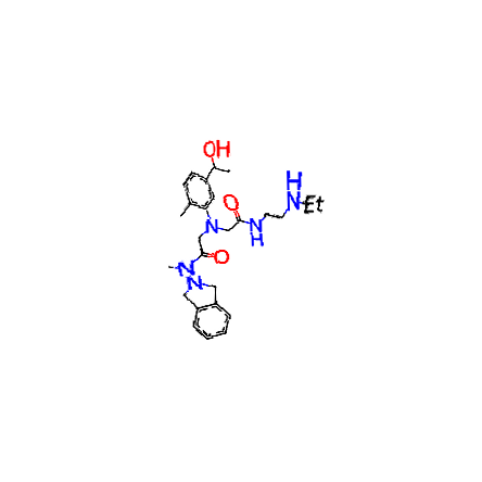 CCNCCNC(=O)CN(CC(=O)N(C)N1Cc2ccccc2C1)c1cc(C(C)O)ccc1C